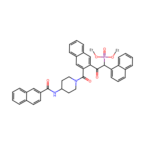 CCOP(=O)(OCC)C(C(=O)c1cc2ccccc2cc1C(=O)N1CCC(NC(=O)c2ccc3ccccc3c2)CC1)c1cccc2ccccc12